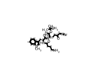 Cn1cc(C[C@H](NC(=O)CCCN)C(=O)N[C@@H](CCC(=O)C=[N+]=[N-])C(=O)OC(C)(C)C)c2ccccc21